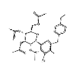 CCc1ccc(Cc2cc([C@@H]3O[C@H](COC(C)=O)[C@@H](OC(C)=O)[C@H](OC(C)=O)[C@H]3OC(C)=O)cc(O)c2C)cc1